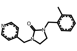 Cc1ccccc1CN1CCN(Cc2ccncc2)C1=O